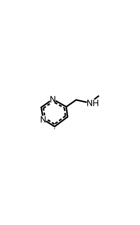 CNCc1c[c]ncn1